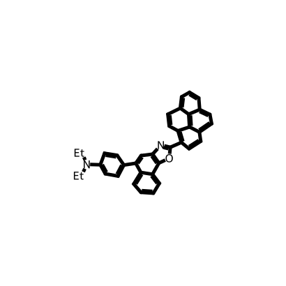 CCN(CC)c1ccc(-c2cc3nc(-c4ccc5ccc6cccc7ccc4c5c67)oc3c3ccccc23)cc1